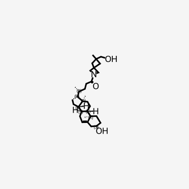 C[C@H](CCC(=O)N1CC2(C1)CC(C)(CO)C2)[C@H]1CC[C@H]2[C@@H]3CC=C4C[C@@H](O)CC[C@]4(C)[C@H]3CC[C@]12C